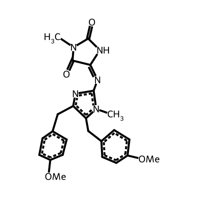 COc1ccc(Cc2nc(N=C3NC(=O)N(C)C3=O)n(C)c2Cc2ccc(OC)cc2)cc1